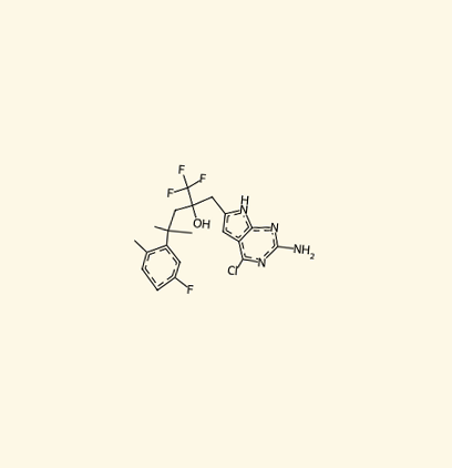 Cc1ccc(F)cc1C(C)(C)CC(O)(Cc1cc2c(Cl)nc(N)nc2[nH]1)C(F)(F)F